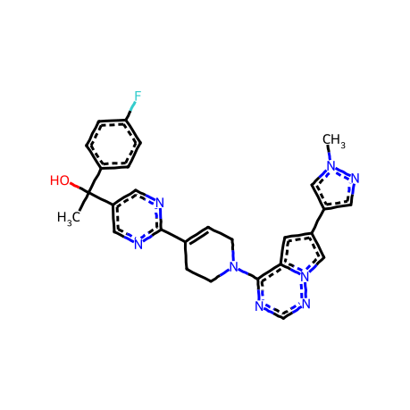 Cn1cc(-c2cc3c(N4CC=C(c5ncc(C(C)(O)c6ccc(F)cc6)cn5)CC4)ncnn3c2)cn1